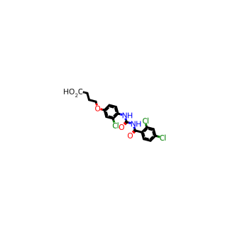 O=C(O)CCCOc1ccc(NC(=O)NC(=O)c2ccc(Cl)cc2Cl)c(Cl)c1